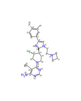 Cc1cc(-c2cn(CCN3CCC3)c([C@H]3CCN(c4ncnc(N)c4C(C)C)C[C@H]3F)n2)ccc1F